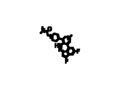 CN1C=C2C(=C(C3=CCN(CC(=O)N(C)C)CC3)C1)NN=C1C=C(F)c3cc(F)cc2c31